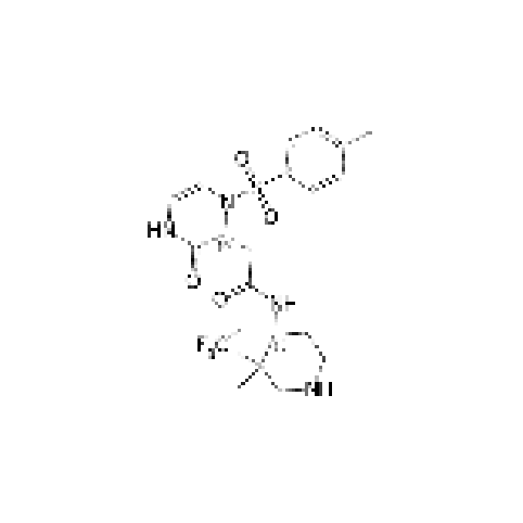 Cc1ccc(S(=O)(=O)N2C=CNC(=O)[C@H]2CC(=O)N[C@@]2(CC(F)(F)F)CCNCC2(C)C)cc1